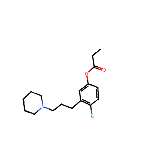 CCC(=O)Oc1ccc(Cl)c(CCCN2CCCCC2)c1